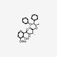 COc1ccnc(C(=O)N[C@@H](C)C(=O)O[C@H](C)[C@@H](Oc2ccccc2)c2ccccc2)c1O